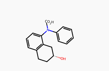 O=C(O)N(c1ccccc1)c1cccc2c1C[C@H](O)CC2